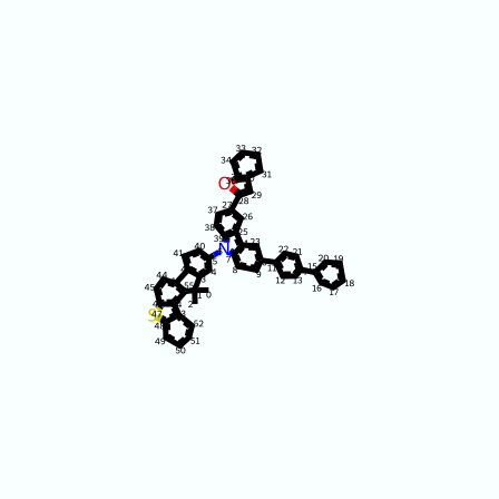 CC1(C)c2cc(-n3c4ccc(-c5ccc(-c6ccccc6)cc5)cc4c4cc(-c5cc6ccccc6o5)ccc43)ccc2-c2ccc3sc4ccccc4c3c21